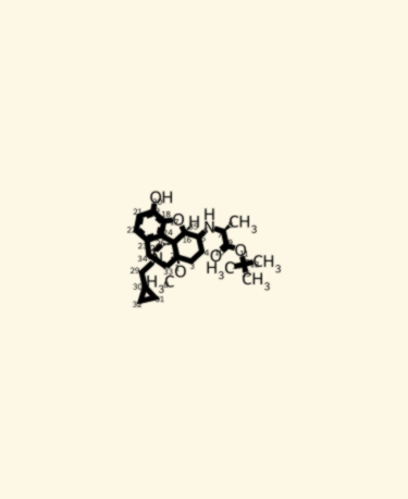 CO[C@@]12CCC(N[C@@H](C)C(=O)OC(C)(C)C)[C@@H]3Oc4c(O)ccc5c4[C@@]31CCN(CC1CC1)C2C5